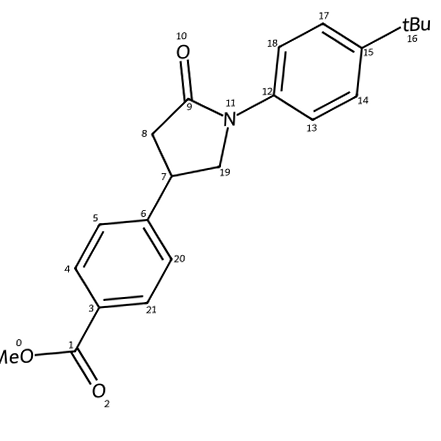 COC(=O)c1ccc(C2CC(=O)N(c3ccc(C(C)(C)C)cc3)C2)cc1